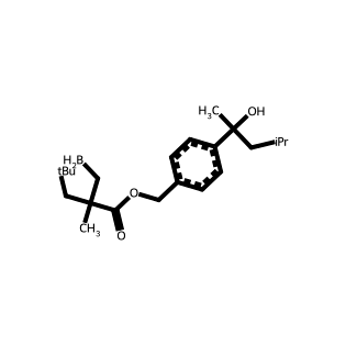 BCC(C)(CC(C)(C)C)C(=O)OCc1ccc(C(C)(O)CC(C)C)cc1